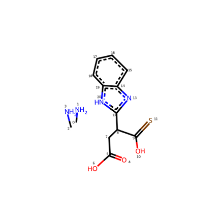 CN.CN.O=C(O)CC(C(O)=S)c1nc2ccccc2[nH]1